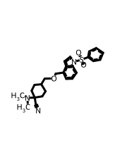 CN(C)C1(C#N)CCC(COCc2cccc3c2ccn3S(=O)(=O)c2ccccc2)CC1